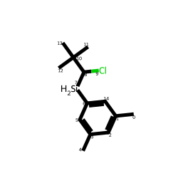 Cc1cc(C)cc([SiH2]C(Cl)C(C)(C)C)c1